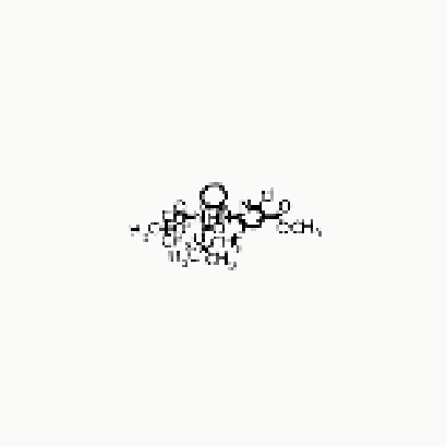 COC(=O)c1cc(F)c(N[C@@H]2CCCC[C@@H]2N(C(=O)OC(C)(C)C)C(=O)OC(C)(C)C)nc1Cl